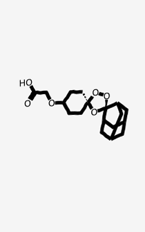 O=C(O)COC1CC[C@]2(CC1)OO[C@]1(O2)C2CC3CC(C2)CC1C3